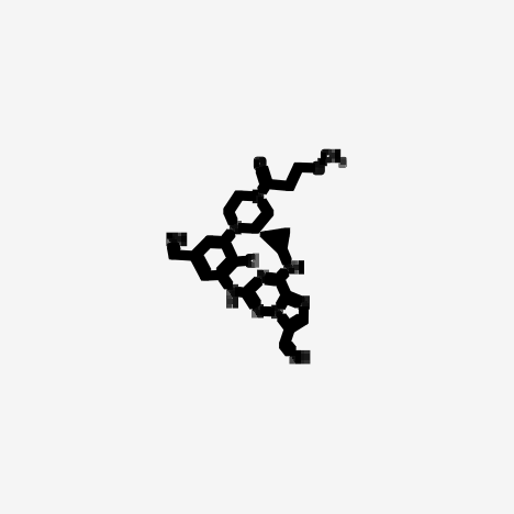 COCCC(=O)N1CCN(c2cc(C=N)cc(Nc3nc(NC4CC4)c4ncc(C=N)n4n3)c2Cl)CC1